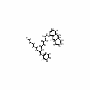 CCCCCCCC(=Cc1ccccc1)CCCCCCC.c1ccc2cc3ccccc3cc2c1